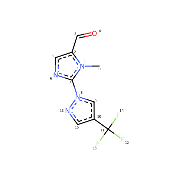 Cn1c(C=O)cnc1-n1cc(C(F)(F)F)cn1